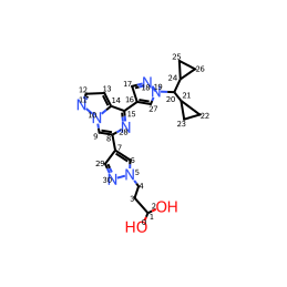 OC(O)CCn1cc(-c2cn3nccc3c(-c3cnn(C(C4CC4)C4CC4)c3)n2)cn1